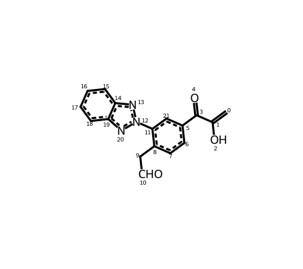 C=C(O)C(=O)c1ccc(CC=O)c(-n2nc3ccccc3n2)c1